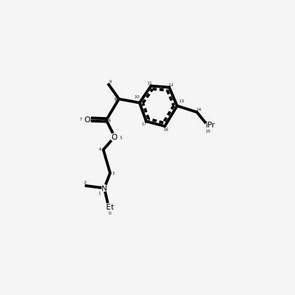 CCN(C)CCOC(=O)C(C)c1ccc(CC(C)C)cc1